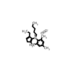 CCCCC[SiH](C1=[C]([Ti+3])CC=C1CC)c1c(C)cc(C)cc1C.[Cl-].[Cl-].[Cl-]